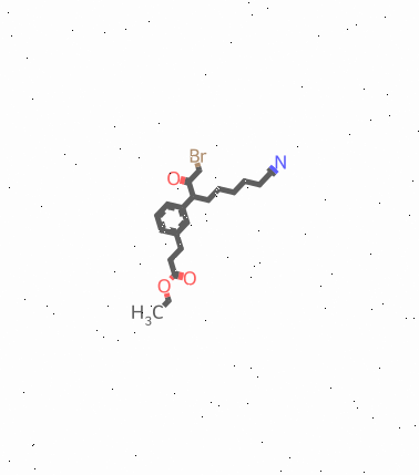 CCOC(=O)CCc1cccc(C(CCCCCC#N)C(=O)CBr)c1